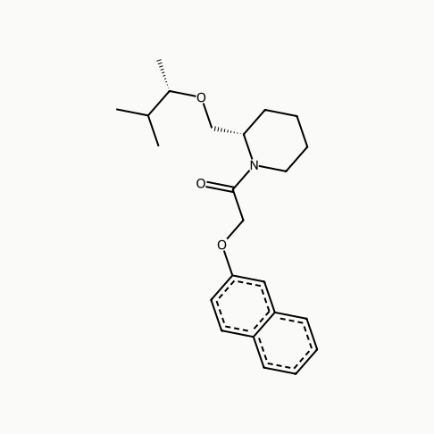 CC(C)[C@H](C)OC[C@@H]1CCCCN1C(=O)COc1ccc2ccccc2c1